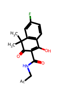 CC(=O)CNC(=O)C1=C(O)c2ccc(F)cc2C(C)(C)C1=O